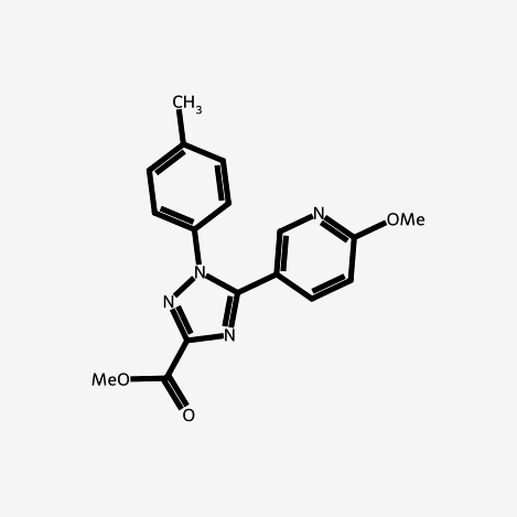 COC(=O)c1nc(-c2ccc(OC)nc2)n(-c2ccc(C)cc2)n1